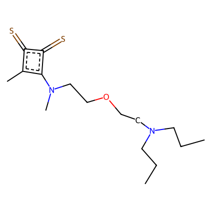 CCCN(CCC)CCOCCN(C)c1c(C)c(=S)c1=S